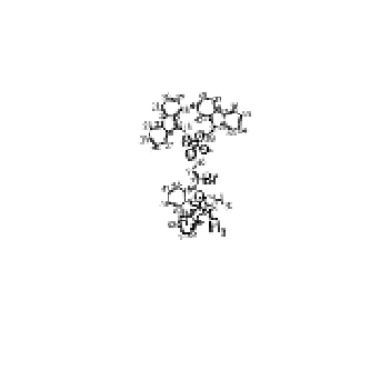 CC(C)(C)[Si](OCC(Br)=CCOP(=O)(OCC1c2ccccc2-c2ccccc21)OCC1c2ccccc2-c2ccccc21)(c1ccccc1)c1ccccc1